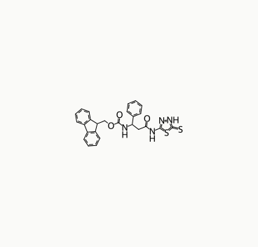 O=C(CC(NC(=O)OCC1c2ccccc2-c2ccccc21)c1ccccc1)Nc1n[nH]c(=S)s1